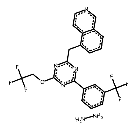 FC(F)(F)COc1nc(Cc2cccc3cnccc23)nc(-c2cccc(C(F)(F)F)c2)n1.NN